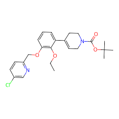 CCOc1c(OCc2ccc(Cl)cn2)cccc1C1=CCN(C(=O)OC(C)(C)C)CC1